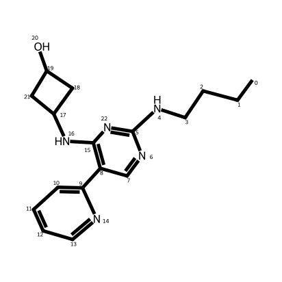 CCCCNc1ncc(-c2ccccn2)c(NC2CC(O)C2)n1